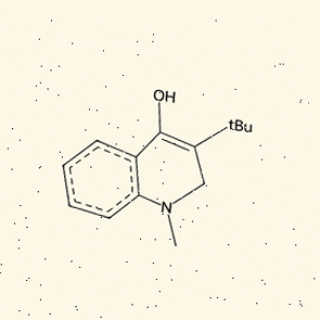 CN1CC(C(C)(C)C)=C(O)c2ccccc21